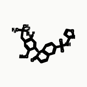 COc1cc(CC(C)(C)C(F)(F)F)c(F)cc1-n1c(=O)ccc2cc(S(=O)(=O)Nc3ccon3)ccc21